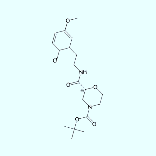 COC1=CC(CCNC(=O)[C@H]2CN(C(=O)OC(C)(C)C)CCO2)C(Cl)C=C1